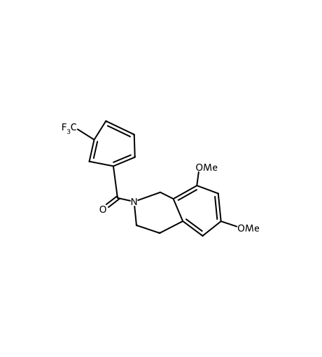 COc1cc2c(c(OC)c1)CN(C(=O)c1cccc(C(F)(F)F)c1)CC2